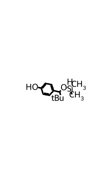 C[SiH](C)OC(c1ccc(O)cc1)C(C)(C)C